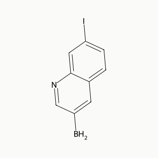 Bc1cnc2cc(I)ccc2c1